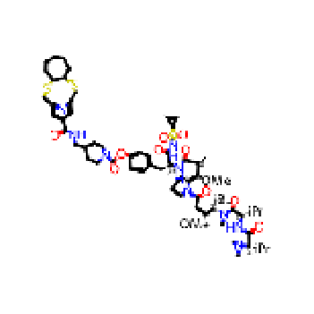 CC[C@H](C)[C@@H]([C@@H](CC(=O)N1CCC[C@H]1[C@H](OC)[C@@H](C)C(=O)N[C@@H](Cc1ccc(OC(=O)N2CCC(CNC(=O)c3cc4nc(c3)CSC3CCCCCC3SC4)CC2)cc1)C(=O)NS(=O)(=O)C1CC1)OC)N(C)C(=O)[C@@H](NC(=O)[C@H](C(C)C)N(C)C)C(C)C